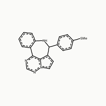 CSc1ccc(C2Nc3ccccc3-c3ncnn4ccc2c34)cc1